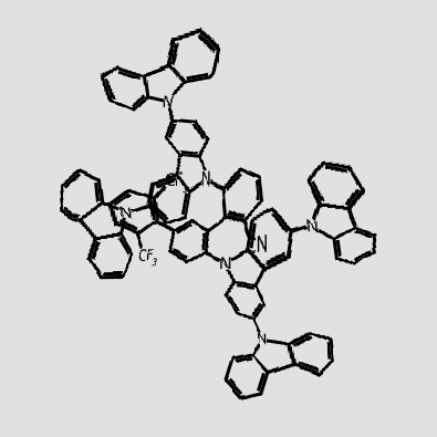 N#Cc1cccc(-n2c3ccc(-n4c5ccccc5c5ccccc54)cc3c3cc(-n4c5ccccc5c5ccccc54)ccc32)c1-c1cc(-c2c(C(F)(F)F)cccc2C(F)(F)F)ccc1-n1c2ccc(-n3c4ccccc4c4ccccc43)cc2c2cc(-n3c4ccccc4c4ccccc43)ccc21